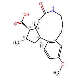 COc1ccc2c(c1)CCCNC(=O)C[C@H]1[C@H](C(=O)O)[C@@H](C)C[C@H]21